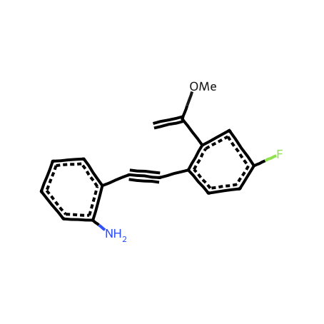 C=C(OC)c1cc(F)ccc1C#Cc1ccccc1N